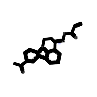 C=CC(=O)O/N=C1\CCn2c3ccc(C(C)=O)cc3c3cccc1c32